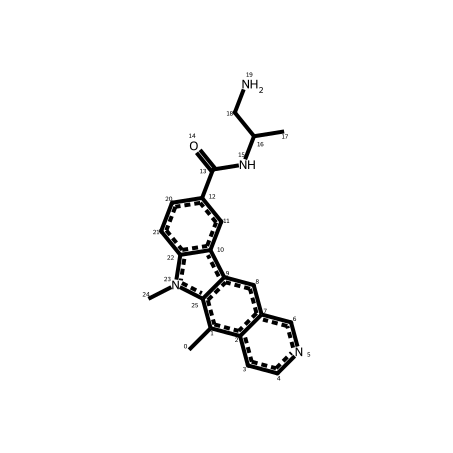 Cc1c2ccncc2cc2c3cc(C(=O)NC(C)CN)ccc3n(C)c12